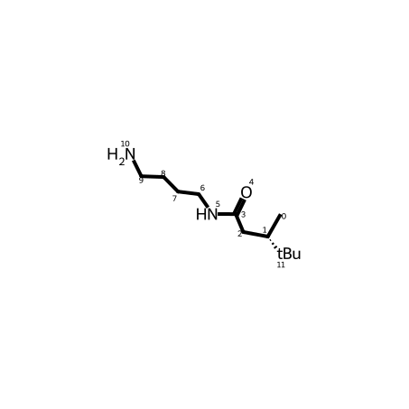 C[C@@H](CC(=O)NCCCCN)C(C)(C)C